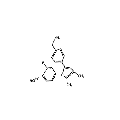 Cc1cc(-c2ccc(CN)cc2)oc1C.Cl.Cl.Fc1ccccc1